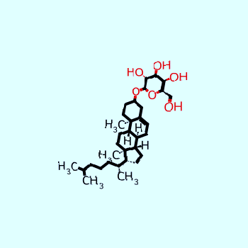 CC(C)CCC[C@@H](C)[C@H]1CC[C@H]2[C@@H]3CC=C4CC(OC5O[C@H](CO)[C@H](O)[C@H](O)[C@H]5O)CC[C@]4(C)[C@H]3CC[C@]12C